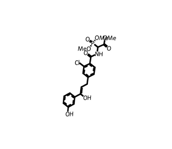 COC(=O)C(NC(=O)c1ccc(C/C=C(\O)c2cccc(O)c2)cc1Cl)P(=O)(OC)OC